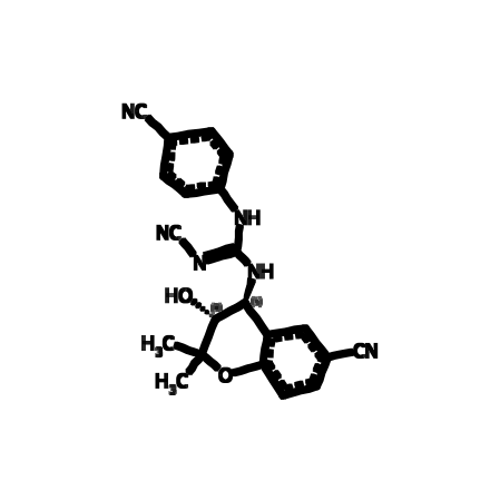 CC1(C)Oc2ccc(C#N)cc2[C@H](NC(=NC#N)Nc2ccc(C#N)cc2)[C@H]1O